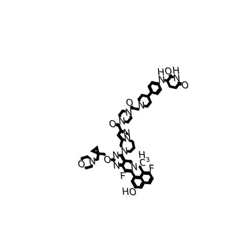 CCc1c(F)ccc2cc(O)cc(-c3ncc4c(N5CCCn6nc(C(=O)N7CCN(C(=O)CN8CCC(c9ccc(NC%10CCC(=O)NC%10=O)cc9)CC8)CC7)cc6C5)nc(OCC5(CN6CCOCC6)CC5)nc4c3F)c12